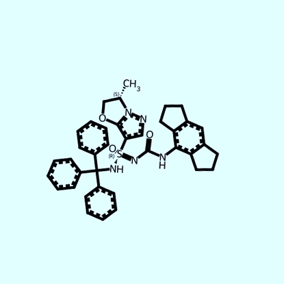 C[C@H]1COc2c([S@](=O)(=NC(=O)Nc3c4c(cc5c3CCC5)CCC4)NC(c3ccccc3)(c3ccccc3)c3ccccc3)cnn21